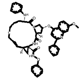 COc1ccc2c(O[C@@H]3C[C@H]4C(=O)N[C@]5(C(=O)NOc6ccccc6)C[C@H]5/C=C\CCCCC[C@H](Nc5ccccc5)C(=O)N4C3)cc(-c3ccccc3)nc2c1